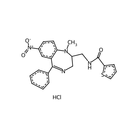 CN1c2ccc([N+](=O)[O-])cc2C(c2ccccc2)=NCC1CNC(=O)c1cccs1.Cl